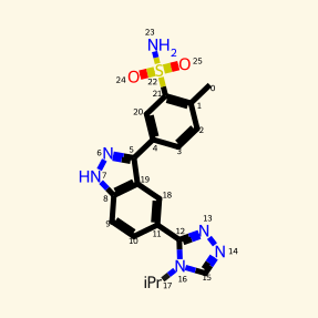 Cc1ccc(-c2n[nH]c3ccc(-c4nncn4C(C)C)cc23)cc1S(N)(=O)=O